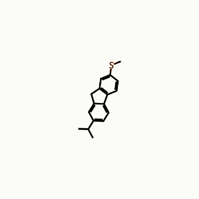 CSc1ccc2c(c1)Cc1cc(C(C)C)ccc1-2